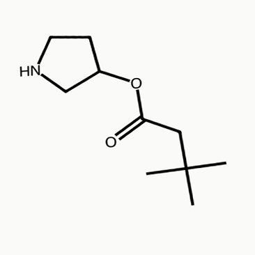 CC(C)(C)CC(=O)OC1CCNC1